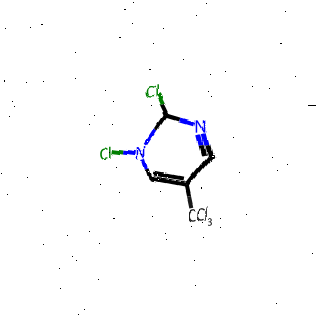 ClC1N=CC(C(Cl)(Cl)Cl)=CN1Cl